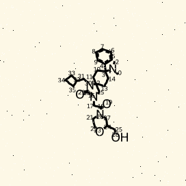 CN(C)C1(c2ccccc2)CCC2(CC1)CN(CC(=O)N1CCOC(CO)C1)C(=O)N2CC1CCC1